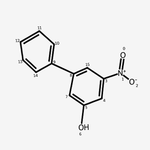 O=[N+]([O-])c1cc(O)cc(-c2ccccc2)c1